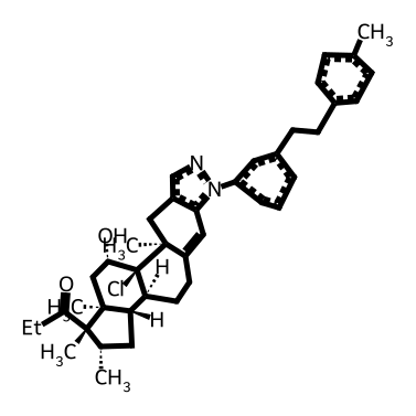 CCC(=O)[C@@]1(C)[C@@H](C)C[C@H]2[C@@H]3CCC4=Cc5c(cnn5-c5cccc(CCc6ccc(C)cc6)c5)C[C@]4(C)[C@@]3(Cl)[C@@H](O)C[C@@]21C